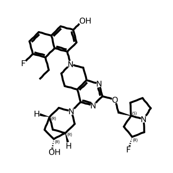 CCc1c(F)ccc2cc(O)cc(N3CCc4c(nc(OC[C@@]56CCCN5C[C@H](F)C6)nc4N4C[C@@H]5C[C@H](C4)[C@H](O)C5)C3)c12